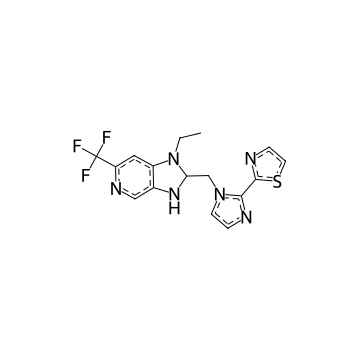 CCN1c2cc(C(F)(F)F)ncc2NC1Cn1ccnc1-c1nccs1